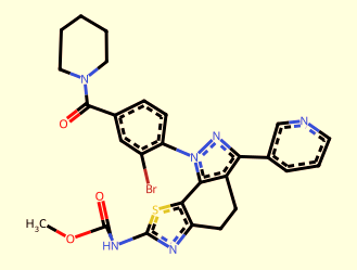 COC(=O)Nc1nc2c(s1)-c1c(c(-c3cccnc3)nn1-c1ccc(C(=O)N3CCCCC3)cc1Br)CC2